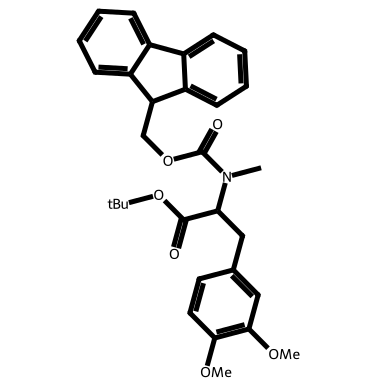 COc1ccc(CC(C(=O)OC(C)(C)C)N(C)C(=O)OCC2c3ccccc3-c3ccccc32)cc1OC